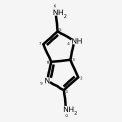 NC1=CC2NC(N)=CC2=N1